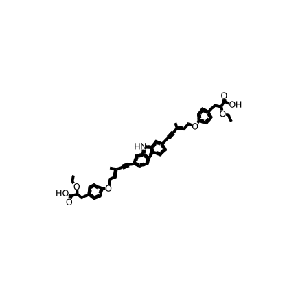 CCOC(Cc1ccc(OC/C=C(\C)C#Cc2ccc3c(c2)[nH]c2cc(C#C/C(C)=C/COc4ccc(CC(OCC)C(=O)O)cc4)ccc23)cc1)C(=O)O